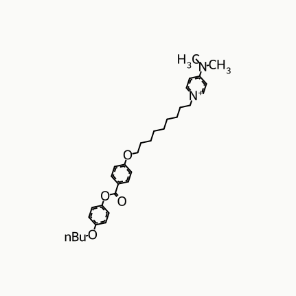 CCCCOc1ccc(OC(=O)c2ccc(OCCCCCCCCC[n+]3ccc(N(C)C)cc3)cc2)cc1